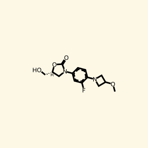 COC1CN(c2ccc(N3C[C@H](CO)OC3=O)cc2F)C1